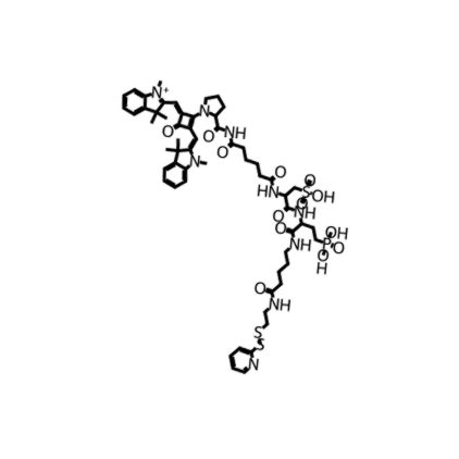 CN1/C(=C/C2=C(N3CCCC3C(=O)NC(=O)CCCCC(=O)NC(CS(=O)(=O)O)C(=O)NC(CCP(=O)(O)O)C(=O)NCCCCC(=O)NCCSSc3ccccn3)C(=C/C3=[N+](C)c4ccccc4C3(C)C)/C2=O)C(C)(C)c2ccccc21